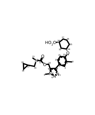 Cc1cc(-c2nnn(C)c2COC(=O)N(C)CC2CC2)ccc1O[C@H]1CCC[C@H](C(=O)O)C1